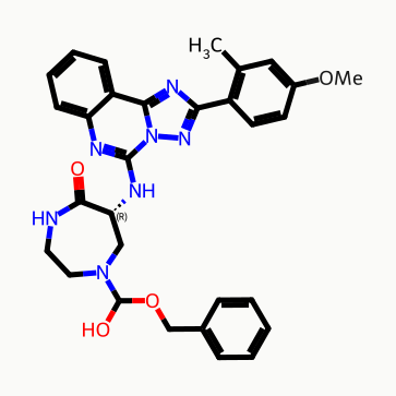 COc1ccc(-c2nc3c4ccccc4nc(N[C@@H]4CN(C(O)OCc5ccccc5)CCNC4=O)n3n2)c(C)c1